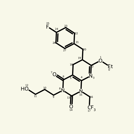 CCOC1=Nc2c(c(=O)n(CCCO)c(=O)n2CC(F)(F)F)CC1Cc1ccc(F)cc1